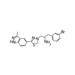 Cc1n[nH]c2ccc(C3=NN(CC(N)Cc4cccc(Br)c4)CS3)cc12